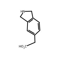 O=C(O)Cc1ccc2c(c1)CNC2